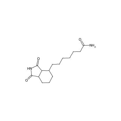 NC(=O)CCCCCCC1CCCC2C(=O)NC(=O)C12